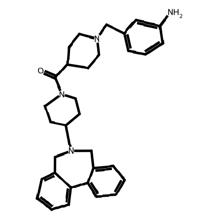 Nc1cccc(CN2CCC(C(=O)N3CCC(N4Cc5ccccc5-c5ccccc5C4)CC3)CC2)c1